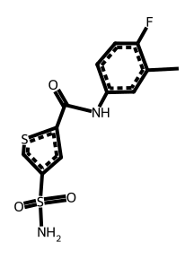 Cc1cc(NC(=O)c2cc(S(N)(=O)=O)cs2)ccc1F